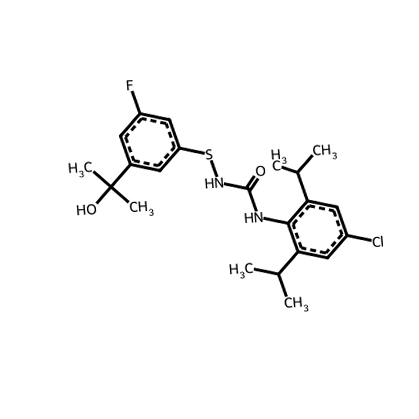 CC(C)c1cc(Cl)cc(C(C)C)c1NC(=O)NSc1cc(F)cc(C(C)(C)O)c1